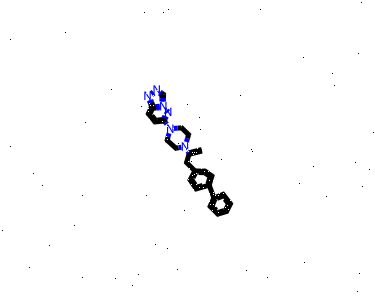 C=C(Cc1ccc(-c2ccccc2)cc1)N1CCN(c2ccc3nncn3n2)CC1